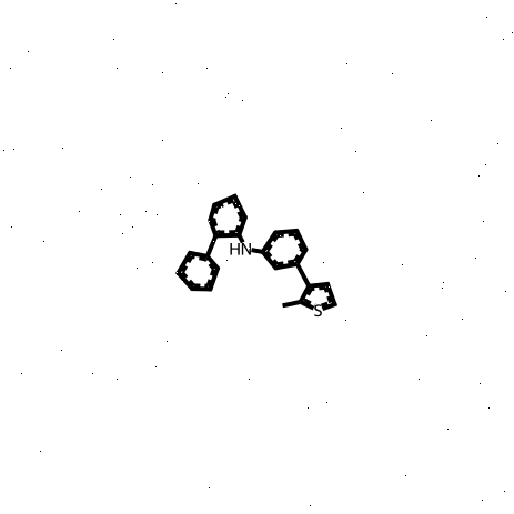 Cc1sccc1-c1cccc(Nc2ccccc2-c2ccccc2)c1